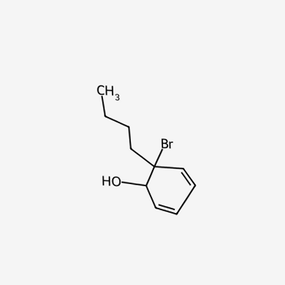 CCCCC1(Br)C=CC=CC1O